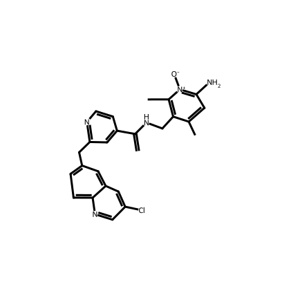 C=C(NCc1c(C)cc(N)[n+]([O-])c1C)c1ccnc(Cc2ccc3ncc(Cl)cc3c2)c1